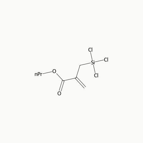 C=C(C[Si](Cl)(Cl)Cl)C(=O)OCCC